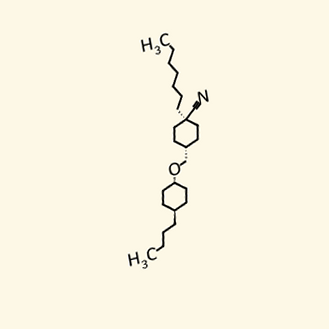 CCCCCCC[C@]1(C#N)CC[C@H](CO[C@H]2CC[C@H](CCCC)CC2)CC1